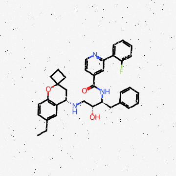 CCc1ccc2c(c1)[C@@H](NC[C@@H](O)[C@H](Cc1ccccc1)NC(=O)c1ccnc(-c3ccccc3F)c1)CC1(CCC1)O2